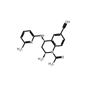 C#Cc1ccc2c(c1)[C@H](Nc1cccc(C)n1)C[C@H](C)N2C(C)=O